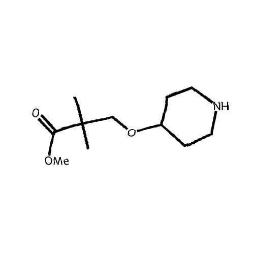 COC(=O)C(C)(C)COC1CCNCC1